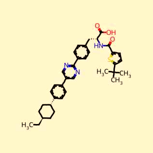 CC[C@H]1CC[C@H](c2ccc(-c3cnc(-c4ccc(C[C@@H](NC(=O)c5ccc(C(C)(C)C)s5)C(=O)O)cc4)nc3)cc2)CC1